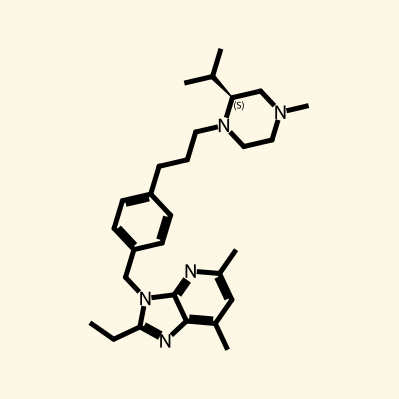 CCc1nc2c(C)cc(C)nc2n1Cc1ccc(CCCN2CCN(C)C[C@@H]2C(C)C)cc1